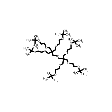 CC(C)(C)OCCOCC(COCCOC(C)(C)C)(COCCOC(C)(C)C)COCC(COCCOC(C)(C)C)(COCCOC(C)(C)C)COCCOC(C)(C)C